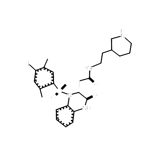 Cc1cc(S(=O)(=O)N2c3ccccc3NC(=O)[C@H]2CC(=O)NCCC2CCCNC2)c(C)cc1Cl